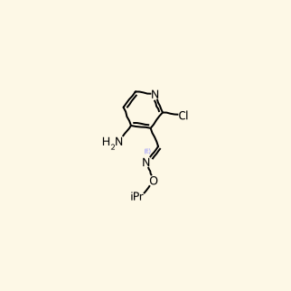 CC(C)O/N=C/c1c(N)ccnc1Cl